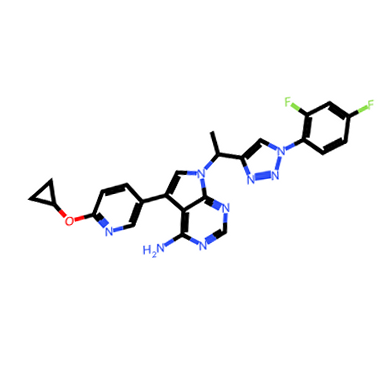 CC(c1cn(-c2ccc(F)cc2F)nn1)n1cc(-c2ccc(OC3CC3)nc2)c2c(N)ncnc21